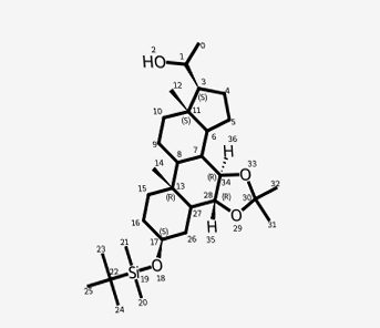 CC(O)[C@H]1CCC2C3C(CC[C@@]21C)[C@@]1(C)CC[C@H](O[Si](C)(C)C(C)(C)C)CC1[C@H]1OC(C)(C)O[C@H]31